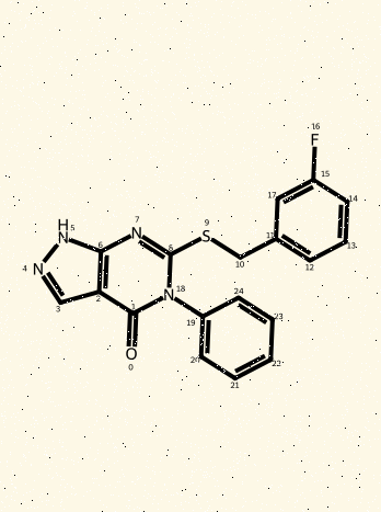 O=c1c2cn[nH]c2nc(SCc2cccc(F)c2)n1-c1ccccc1